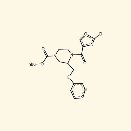 CCCCOC(=O)N1CCN(C(=O)c2coc(Cl)n2)C(COc2cccnc2)C1